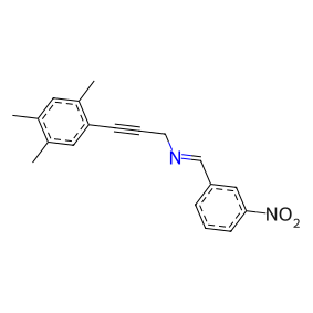 Cc1cc(C)c(C#CC/N=C/c2cccc([N+](=O)[O-])c2)cc1C